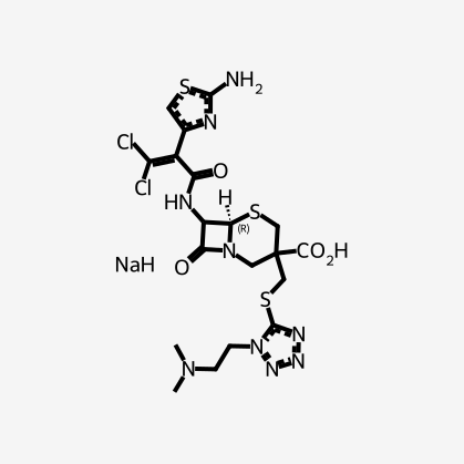 CN(C)CCn1nnnc1SCC1(C(=O)O)CS[C@@H]2C(NC(=O)C(=C(Cl)Cl)c3csc(N)n3)C(=O)N2C1.[NaH]